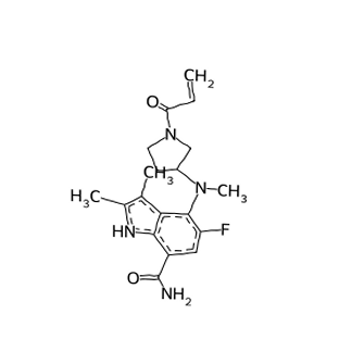 C=CC(=O)N1CCC(N(C)c2c(F)cc(C(N)=O)c3[nH]c(C)c(C)c23)C1